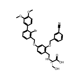 COc1ccc(-c2cccc(COc3ccc(CN[C@@H](CO)C(=O)O)c(OCc4cccc(C#N)c4)c3)c2Br)cc1OC